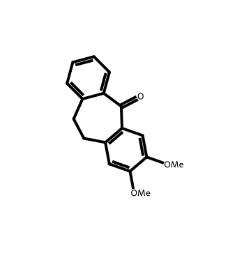 COc1cc2c(cc1OC)C(=O)c1ccccc1CC2